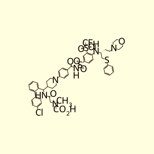 CN(CC(=O)N[C@@H](c1ccccc1-c1ccc(Cl)cc1)C1CCN(c2ccc(C(=O)NS(=O)(=O)c3ccc(N[C@H](CCN4CCOCC4)CSc4ccccc4)c(S(=O)(=O)C(F)(F)F)c3)cc2)CC1)C(=O)O